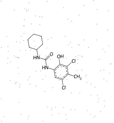 Cc1c(Cl)cc(NC(=O)NC2CCCCC2)c(O)c1Cl